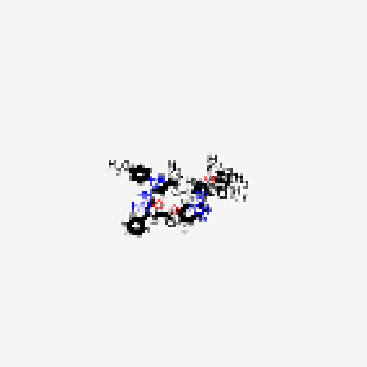 Cc1ccc(-n2nc(C(C)(C)C)cc2NC(=O)N[C@@H](CC[C@H](C)Oc2ccc3nnc(N4CC[C@H](O[Si](C(C)C)(C(C)C)C(C)C)C4)n3c2)c2ccccc2)cc1